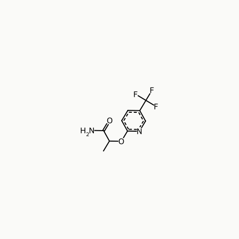 CC(Oc1ccc(C(F)(F)F)cn1)C(N)=O